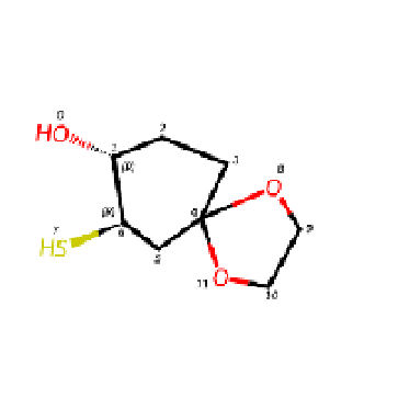 O[C@@H]1CCC2(C[C@H]1S)OCCO2